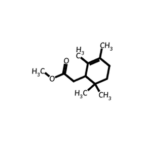 COC(=O)CC1C(C)=C(C)CCC1(C)C